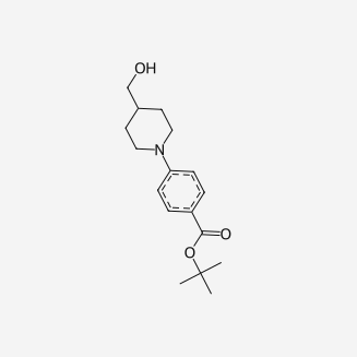 CC(C)(C)OC(=O)c1ccc(N2CCC(CO)CC2)cc1